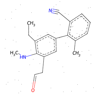 CCc1cc(-c2c(C)cccc2C#N)cc(CC=O)c1NC